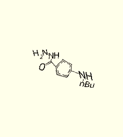 CCCCNc1ccc(C(=O)NN)cc1